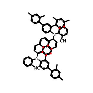 [C-]#[N+]c1ccccc1N(C1=C2C=CC3=C4C(=CC=C(C=C1)C24)C(N(c1ccccc1C#N)c1ccc(-c2ccc(C)cc2C)cc1-c1ccc(C)cc1C)C=C3)c1ccc(-c2ccc(C)cc2C)cc1-c1ccc(C)cc1C